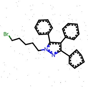 BrCCCCCn1nc(-c2ccccc2)c(-c2ccccc2)c1-c1ccccc1